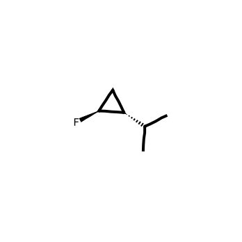 CC(C)[C@H]1C[C@@H]1F